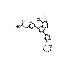 O=C(O)Cn1cc(-n2cc(-c3cnn(C4CCCCO4)c3)c3ccc(Cl)c(Cl)c32)cn1